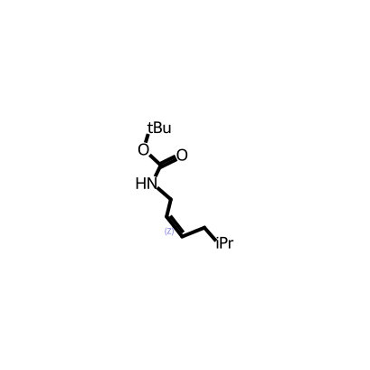 CC(C)C/C=C\CNC(=O)OC(C)(C)C